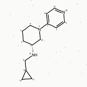 c1cc(N2CCC[C@@H](NCC3CC3)C2)ccn1